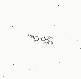 CCNCc1ccc(-c2ccc([C@H](O)[C@H](N)CF)cc2)cn1